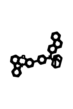 c1ccc2c(c1)ccc1cc(N(c3ccc(-c4ccc5c(c4)Oc4cccc6c7ccccc7n-5c46)cc3)C34CC5CC(CC(C5)C3)C4)ccc12